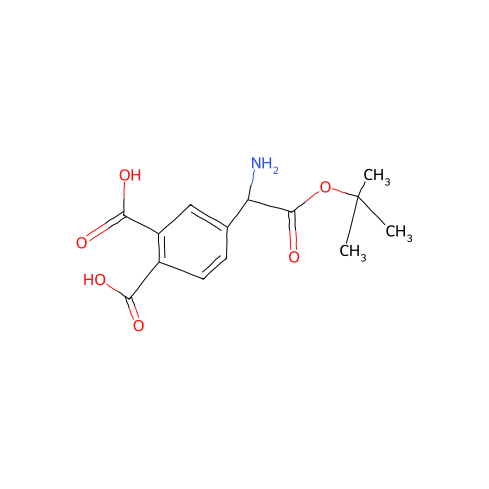 CC(C)(C)OC(=O)C(N)c1ccc(C(=O)O)c(C(=O)O)c1